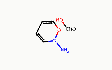 NN1C=CC=CO1.O=CO